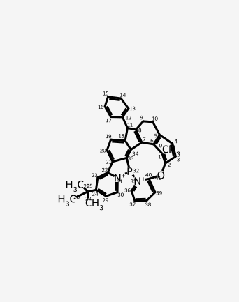 Cc1c2ccc3c1C1=C(CC3)C(c3ccccc3)c3ccc4c5cc(C(C)(C)C)cc[n+]5p(c4c31)-[n+]1ccccc1O2